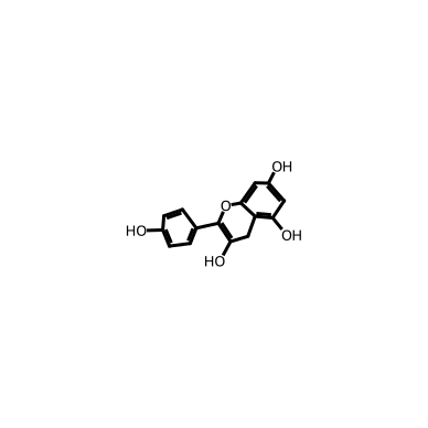 OC1=C(c2ccc(O)cc2)Oc2cc(O)cc(O)c2C1